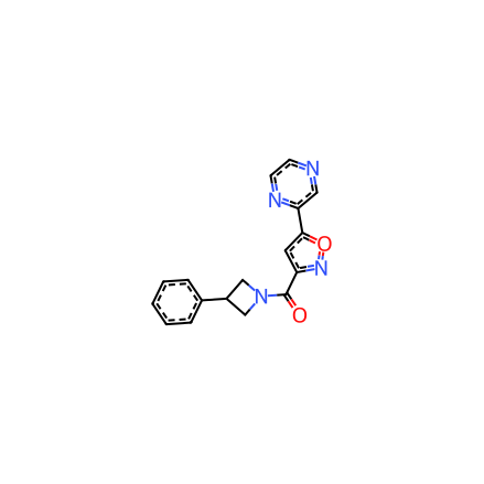 O=C(c1cc(-c2cnccn2)on1)N1CC(c2ccccc2)C1